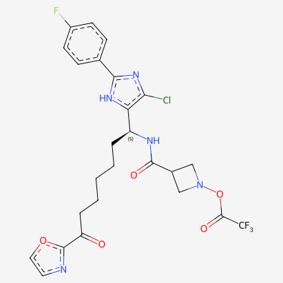 O=C(CCCCC[C@H](NC(=O)C1CN(OC(=O)C(F)(F)F)C1)c1[nH]c(-c2ccc(F)cc2)nc1Cl)c1ncco1